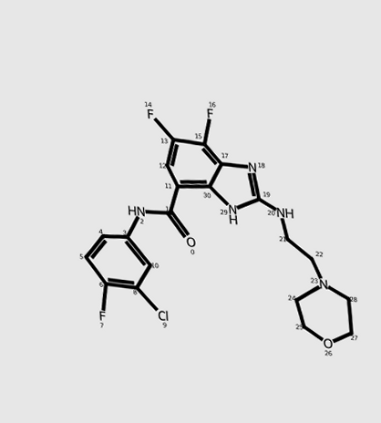 O=C(Nc1ccc(F)c(Cl)c1)c1cc(F)c(F)c2nc(NCCN3CCOCC3)[nH]c12